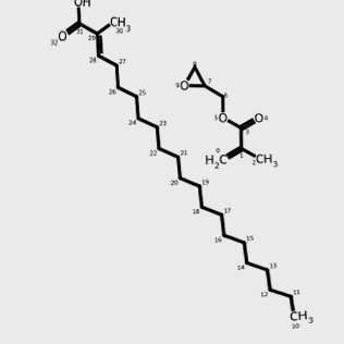 C=C(C)C(=O)OCC1CO1.CCCCCCCCCCCCCCCCCC/C=C(\C)C(=O)O